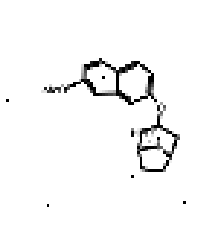 COc1ccc2ccc(OC3CC4CCC(C3)N4C(=O)O)cc2c1